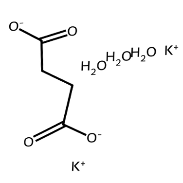 O.O.O.O=C([O-])CCC(=O)[O-].[K+].[K+]